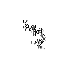 Cn1c(-c2ccc(OC(F)F)c(F)c2Cl)cnc1C(=O)Nc1ccc(C(=O)N2CCN(C(=O)C3CC[N+](CC(N)=O)(CC(N)=O)CC3)CC2)c(Cl)c1